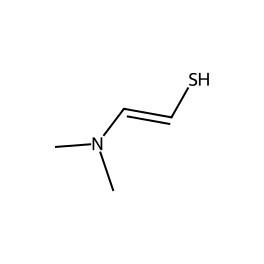 CN(C)C=CS